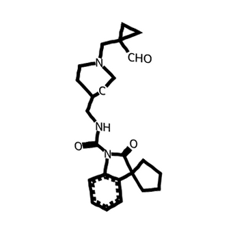 O=CC1(CN2CCC(CNC(=O)N3C(=O)C4(CCCC4)c4ccccc43)CC2)CC1